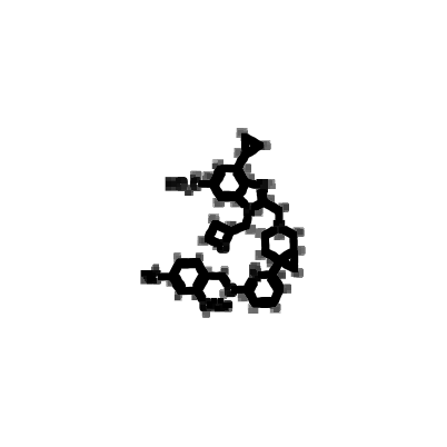 COc1cc(C#N)ccc1COc1cccc(C23CCN(Cc4nc5c(C6CC6)cc(C(=O)O)cc5n4CC4CCO4)CC2C3)n1